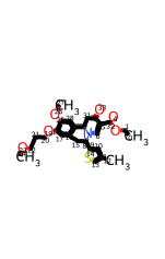 CCOC(=O)C1=CN2C(c3cc(C)cs3)Cc3cc(OCCCOC)c(OC)cc3C2CC1=O